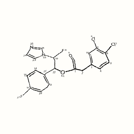 O=C(Cc1ccc(Cl)c(Cl)c1)OC(c1ccc(F)cc1)C(F)n1ccnc1